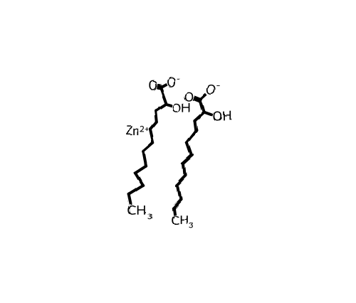 CCCCCCCCCCC(O)C(=O)[O-].CCCCCCCCCCC(O)C(=O)[O-].[Zn+2]